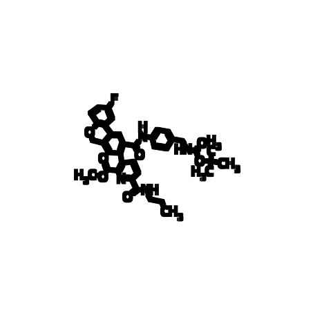 CCCNC(=O)c1ccc(-c2cc3c(cc2C(=O)Nc2ccc(CNC(=O)OC(C)(C)C)cc2)-c2cc(F)ccc2OC3)c(C(=O)OC)n1